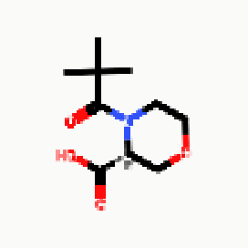 CC(C)(C)C(=O)N1CCOC[C@@H]1C(=O)O